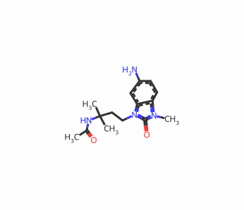 CC(=O)NC(C)(C)CCn1c(=O)n(C)c2ccc(N)cc21